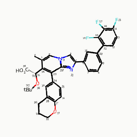 Cc1cn2cc(-c3cccc(-c4ccc(F)c(F)c4F)c3)nc2c(-c2ccc3c(c2)CCCO3)c1[C@H](OC(C)(C)C)C(=O)O